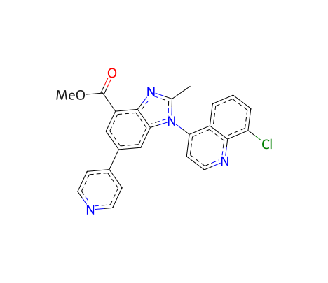 COC(=O)c1cc(-c2ccncc2)cc2c1nc(C)n2-c1ccnc2c(Cl)cccc12